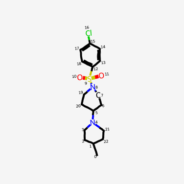 CC1CCN(C2CCN(S(=O)(=O)c3ccc(Cl)cc3)CC2)CC1